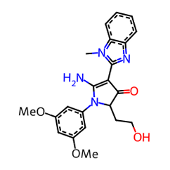 COc1cc(OC)cc(N2C(N)=C(c3nc4ccccc4n3C)C(=O)C2CCO)c1